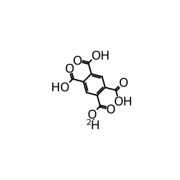 [2H]OC(=O)c1cc(C(=O)O)c(C(=O)O)cc1C(=O)O